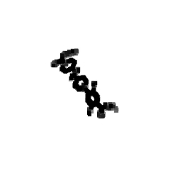 COC(=O)N1CCC(ON=C2CCN(c3cc(F)c(C(N)=O)cc3F)CC2)CC1